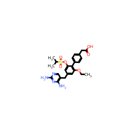 CCOc1cc(Cc2cnc(N)nc2N)cc(OS(=O)(=O)C(C)C)c1-c1ccc(CC(=O)O)cc1